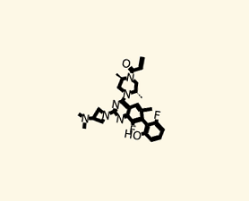 C=CC(=O)N1C[C@H](C)N(c2nc(N3CC(N(C)C)C3)nc3c(F)c(-c4c(O)cccc4F)c(C)cc23)C[C@H]1C